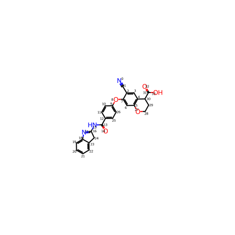 N#Cc1cc2c(cc1Oc1ccc(C(=O)NC3=Nc4ccccc4C3)cc1)OCCC2C(=O)O